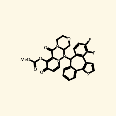 COC(=O)Oc1c2n(ccc1=O)N(C1c3ccccc3-c3sccc3-c3c1ccc(F)c3F)C1COCCN1C2=O